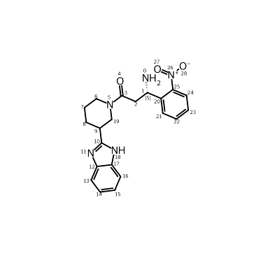 N[C@@H](CC(=O)N1CCCC(c2nc3ccccc3[nH]2)C1)c1ccccc1[N+](=O)[O-]